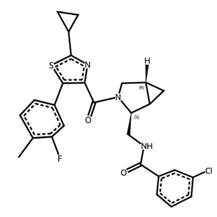 Cc1ccc(-c2sc(C3CC3)nc2C(=O)N2C[C@@H]3CC3[C@H]2CNC(=O)c2cccc(Cl)c2)cc1F